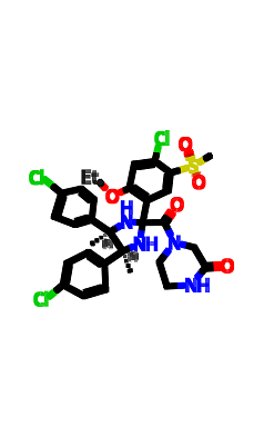 CCOc1cc(Cl)c(S(C)(=O)=O)cc1C1(C(=O)N2CCNC(=O)C2)N[C@@](C)(c2ccc(Cl)cc2)[C@@](C)(c2ccc(Cl)cc2)N1